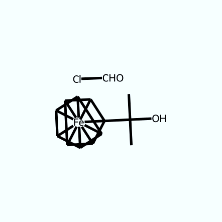 CC(C)(O)[C]12[CH]3[CH]4[CH]5[CH]1[Fe]45321678[CH]2[CH]1[CH]6[CH]7[CH]28.O=CCl